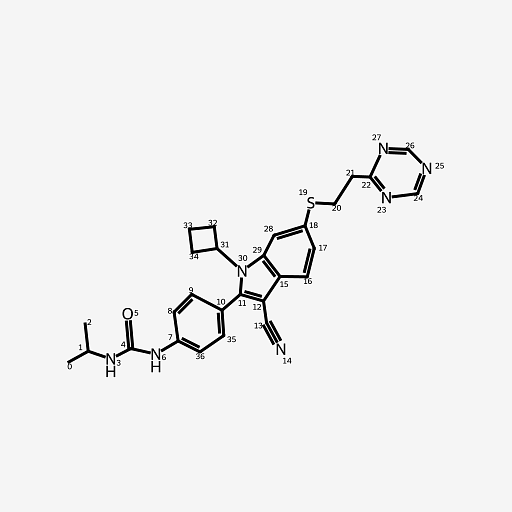 CC(C)NC(=O)Nc1ccc(-c2c(C#N)c3ccc(SCCc4ncncn4)cc3n2C2CCC2)cc1